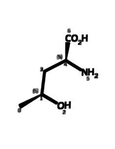 C[C@H](O)C[C@H](N)C(=O)O